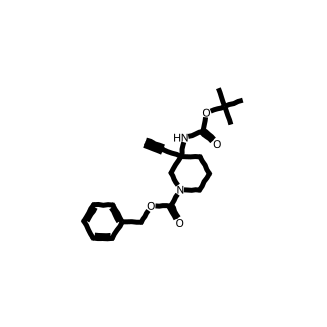 C#CC1(NC(=O)OC(C)(C)C)CCCN(C(=O)OCc2ccccc2)C1